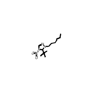 CCCCCCN1N=CN([N+](=O)[O-])C1C(C)(C)C